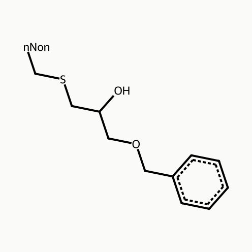 CCCCCCCCCCSCC(O)COCc1ccccc1